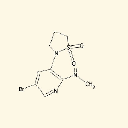 CNc1ncc(Br)cc1N1CCCS1(=O)=O